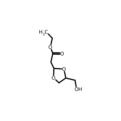 CCOC(=O)CC1OCC(CO)O1